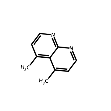 Cc1ccnc2nccc(C)c12